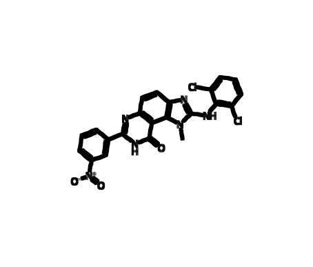 Cn1c(Nc2c(Cl)cccc2Cl)nc2ccc3nc(-c4cccc([N+](=O)[O-])c4)[nH]c(=O)c3c21